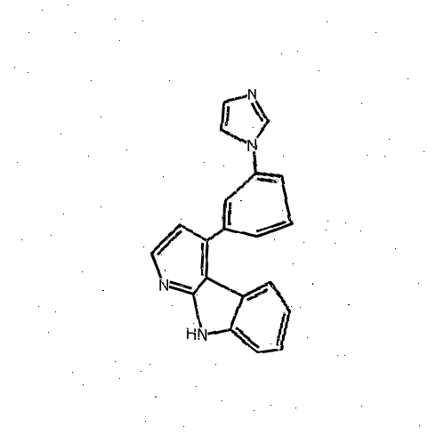 c1cc(-c2ccnc3[nH]c4ccccc4c23)cc(-n2ccnc2)c1